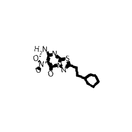 Nc1nc2sc(CCC3CCCCC3)nn2c(=O)c1[N+](=O)[O-]